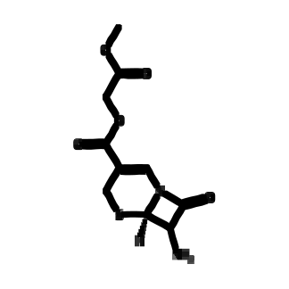 COC(=O)COC(=O)C1=CN2C(=O)C(N)[C@H]2SC1